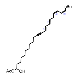 CCCC/C=C\C=C/C/C=C/C=C/C#CCCCCCCCCCC(O)OC(C)=O